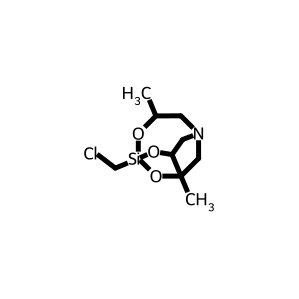 CC1CN2CCO[Si](CCl)(O1)OC(C)C2